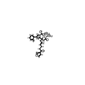 CC(C)(C)OC(=O)NC(C)(CC=CCCC(=O)c1ccon1)c1nc(-c2ccccc2F)cn1C(=O)OC(C)(C)C